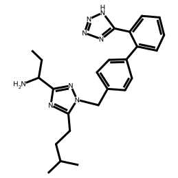 CCC(N)c1nc(CCC(C)C)n(Cc2ccc(-c3ccccc3-c3nnn[nH]3)cc2)n1